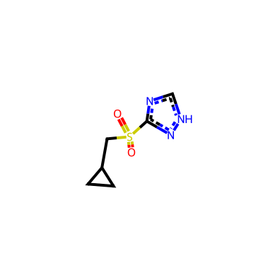 O=S(=O)(CC1CC1)c1nc[nH]n1